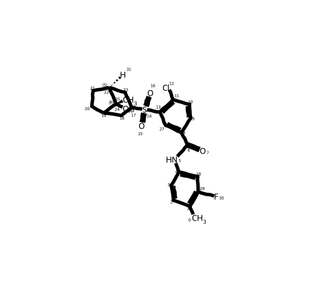 Cc1ccc(NC(=O)c2ccc(Cl)c(S(=O)(=O)C3CC4CC[C@@H](C3)[C@]4(C)O)c2)cc1F